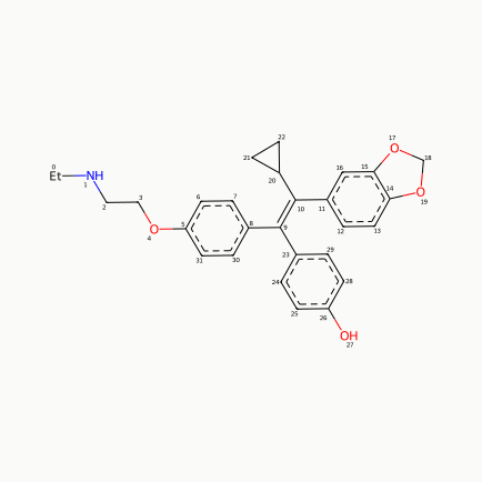 CCNCCOc1ccc(/C(=C(/c2ccc3c(c2)OCO3)C2CC2)c2ccc(O)cc2)cc1